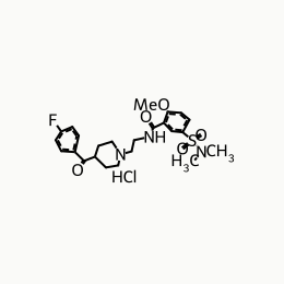 COc1ccc(S(=O)(=O)N(C)C)cc1C(=O)NCCN1CCC(C(=O)c2ccc(F)cc2)CC1.Cl